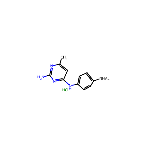 CC(=O)Nc1ccc(Nc2cc(C)nc(N)n2)cc1.Cl